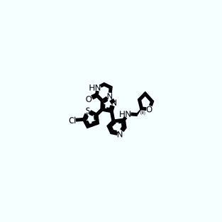 O=C1NCCn2nc(-c3ccncc3NC[C@H]3CCCO3)c(-c3ccc(Cl)s3)c21